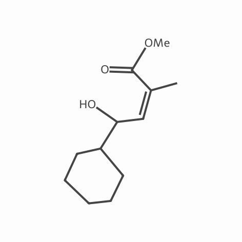 COC(=O)C(C)=CC(O)C1CCCCC1